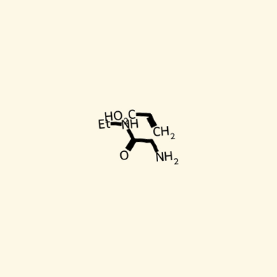 C=CC(=O)O.CCNC(=O)CN